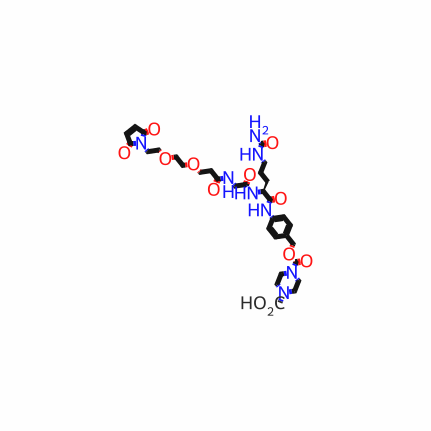 NC(=O)NCCC[C@H](NC(=O)CNC(=O)CCOCCOCCN1C(=O)C=CC1=O)C(=O)Nc1ccc(COC(=O)N2CCN(C(=O)O)CC2)cc1